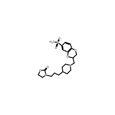 CS(=O)(=O)c1ccc2c(c1)OC(CN1CCC(CCCN3CCOC3=O)CC1)CO2